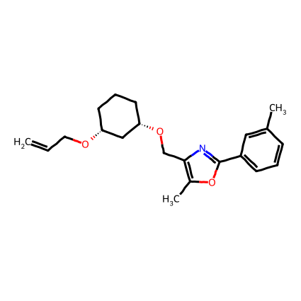 C=CCO[C@@H]1CCC[C@H](OCc2nc(-c3cccc(C)c3)oc2C)C1